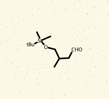 CC(CC=O)CO[Si](C)(C)C(C)(C)C